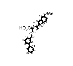 COc1ccc2oc(C(=O)NC(COCc3cccc(-c4ccccc4)c3)C(=O)O)cc2c1